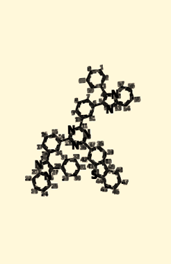 c1ccc(-c2c(-c3cccc(-c4nc(-c5cccc(-c6nc7ccccn7c6-c6ccccc6)c5)nc(-c5ccc6c(c5)sc5ccccc56)n4)c3)nc3ccccn23)cc1